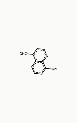 CCCc1cccc2c(C=O)ccnc12